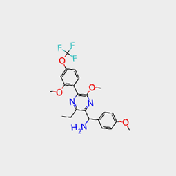 CCc1nc(-c2ccc(OC(F)(F)F)cc2OC)c(OC)nc1C(N)c1ccc(OC)cc1